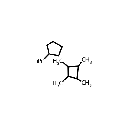 CC(C)C1CCCC1.CC1C(C)C(C)C1C